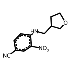 N#Cc1ccc(NCC2CCOC2)c([N+](=O)[O-])c1